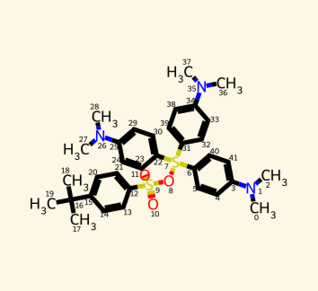 CN(C)c1ccc(S(OS(=O)(=O)c2ccc(C(C)(C)C)cc2)(c2ccc(N(C)C)cc2)c2ccc(N(C)C)cc2)cc1